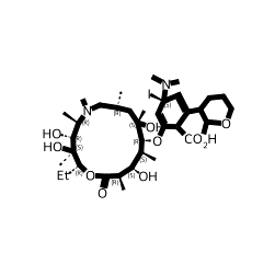 CC[C@H]1OC(=O)[C@H](C)[C@@H](O)[C@H](C)[C@@H](OC2=C[C@](I)(N(C)C)C=C(C3CCCOC3C)C2C(=O)O)[C@@](C)(O)C[C@@H](C)CN(C)[C@H](C)[C@@H](O)[C@]1(C)O